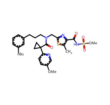 CCCCc1cccc(CCCN(Cc2nc(C(=O)NS(=O)(=O)OC)c(C)s2)C(=O)C2(c3ccc(OC)cn3)CC2)c1